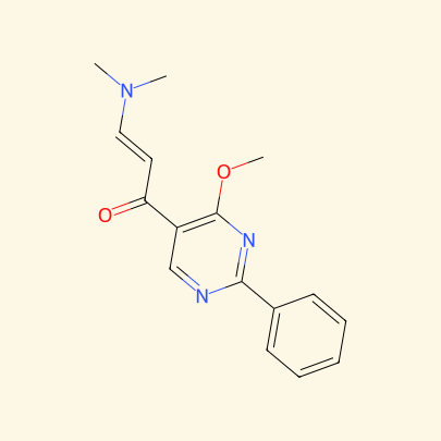 COc1nc(-c2ccccc2)ncc1C(=O)C=CN(C)C